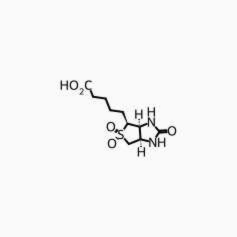 O=C(O)CCCC[C@H]1[C@H]2NC(=O)N[C@H]2CS1(=O)=O